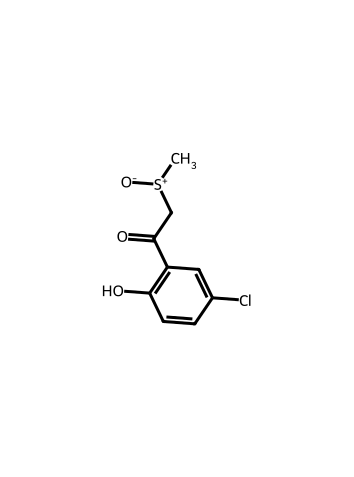 C[S+]([O-])CC(=O)c1cc(Cl)ccc1O